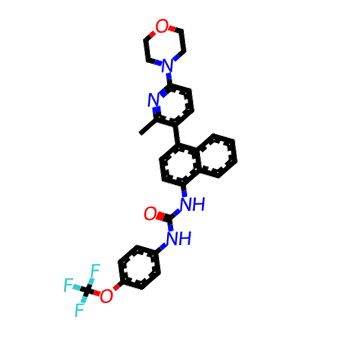 Cc1nc(N2CCOCC2)ccc1-c1ccc(NC(=O)Nc2ccc(OC(F)(F)F)cc2)c2ccccc12